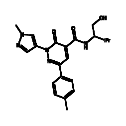 Cc1ccc(-c2cc(C(=O)NC(CO)C(C)C)c(=O)n(-c3cnn(C)c3)n2)cc1